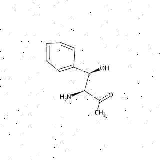 CC(=O)[C@@H](N)[C@H](O)c1ccccc1